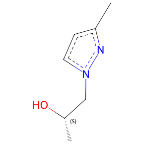 Cc1ccn(C[C@H](C)O)n1